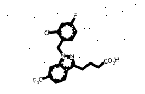 O=C(O)CCCc1nn(Cc2ccc(F)cc2Cl)c2cc(C(F)(F)F)ccc12